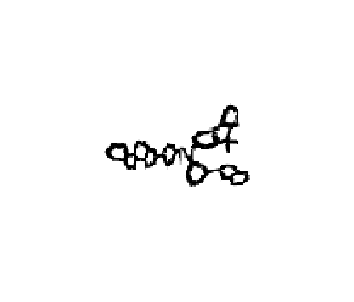 CC1(C)c2ccccc2-c2ccc(N(c3ccc(-c4ccc5c(ccc6c7ccccc7ccc56)c4)cc3)c3cccc(-c4ccc5ccccc5c4)c3)cc21